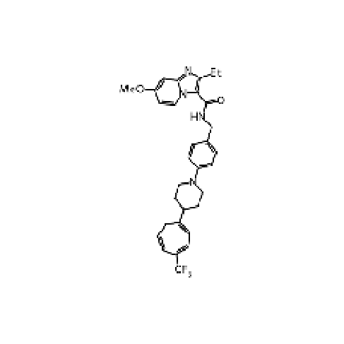 CCc1nc2cc(OC)ccn2c1C(=O)NCc1ccc(N2CCC(C3=CC=C(C(F)(F)F)C=CC3)CC2)cc1